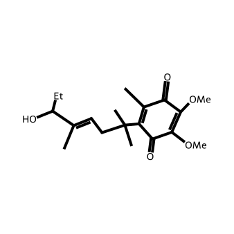 CCC(O)/C(C)=C/CC(C)(C)C1=C(C)C(=O)C(OC)=C(OC)C1=O